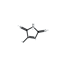 CC1=CC(=O)NC1=S